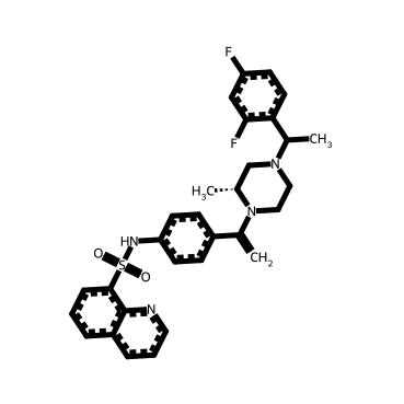 C=C(c1ccc(NS(=O)(=O)c2cccc3cccnc23)cc1)N1CCN(C(C)c2ccc(F)cc2F)C[C@H]1C